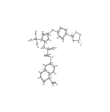 C[C@H]1CCN(c2ccc(Cn3cc(OC(=O)NCc4ccc5c(N)nccc5c4)c(C(F)(F)F)n3)cn2)C1